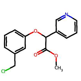 COC(=O)C(Oc1cccc(CCl)c1)c1cccnc1